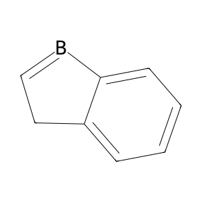 B1=CCc2ccccc21